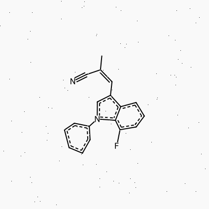 C/C(C#N)=C/c1cn(-c2ccccc2)c2c(F)cccc12